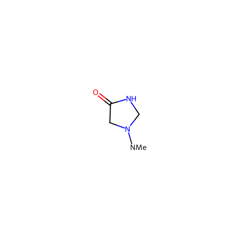 CNN1CNC(=O)C1